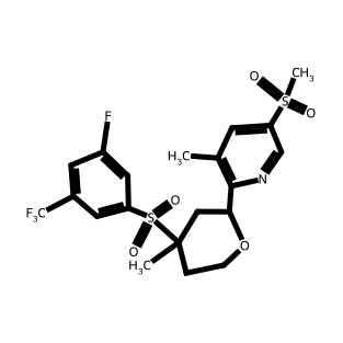 Cc1cc(S(C)(=O)=O)cnc1C1CC(C)(S(=O)(=O)c2cc(F)cc(C(F)(F)F)c2)CCO1